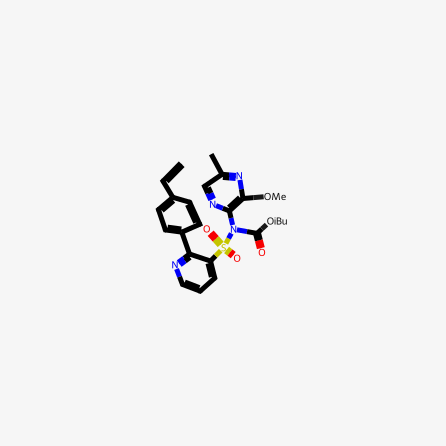 C=Cc1ccc(-c2ncccc2S(=O)(=O)N(C(=O)OCC(C)C)c2ncc(C)nc2OC)cc1